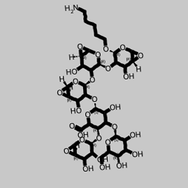 NCCCCCO[C@@H]1OC2O[C@@H]2C(O)C1O[C@@H]1OC2O[C@@H]2C(O)C1O[C@@H]1O[C@H]2O[C@@H]2C(O)C1O[C@H]1OC(C(=O)O)[C@H](O[C@@H]2OC3O[C@@H]3C(O)C2O)C(O[C@@H]2OC(CO)[C@H](O)C(O)C2O)C1O